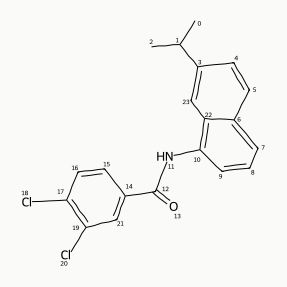 CC(C)c1ccc2cccc(NC(=O)c3ccc(Cl)c(Cl)c3)c2c1